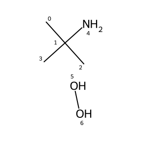 CC(C)(C)N.OO